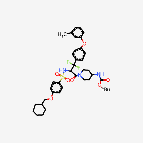 Cc1cccc(Oc2ccc(C(F)(F)C(NS(=O)(=O)c3ccc(OCC4CCCCC4)cc3)C(=O)N3CCC(NC(=O)OC(C)(C)C)CC3)cc2)c1